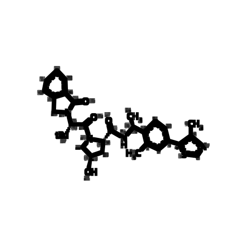 Cc1cc(-c2scnc2C)ccc1[C@H](C)NC(=O)[C@@H]1C[C@@H](O)CN1C(=O)[C@@H](N1Cc2ccccc2C1=O)C(C)(C)C